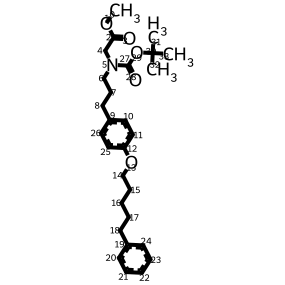 COC(=O)CN(CCCc1ccc(OCCCCCc2ccccc2)cc1)C(=O)OC(C)(C)C